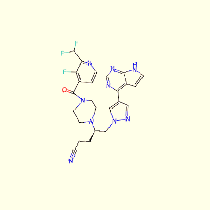 N#CCC[C@H](Cn1cc(-c2ncnc3[nH]ccc23)cn1)N1CCN(C(=O)c2ccnc(C(F)F)c2F)CC1